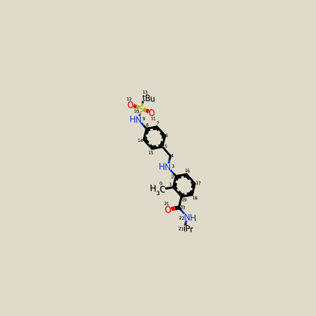 Cc1c(NCc2ccc(NS(=O)(=O)C(C)(C)C)cc2)cccc1C(=O)NC(C)C